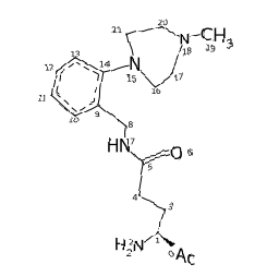 CC(=O)[C@@H](N)CCC(=O)NCc1ccccc1N1CCN(C)CC1